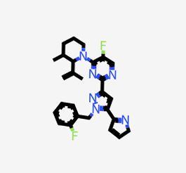 C=C(C)C1C(C)CCCN1c1nc(-c2cc(C3=NCC=C3)n(Cc3ccccc3F)n2)ncc1F